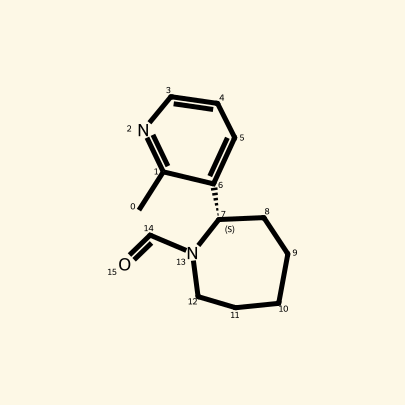 Cc1ncccc1[C@@H]1CCCCCN1C=O